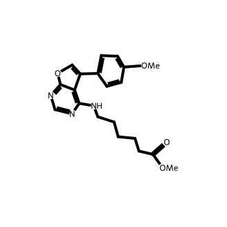 COC(=O)CCCCCNc1ncnc2occ(-c3ccc(OC)cc3)c12